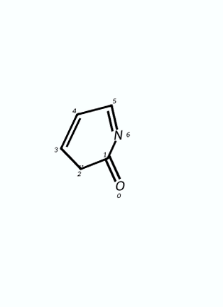 O=C1[C]C=CC=N1